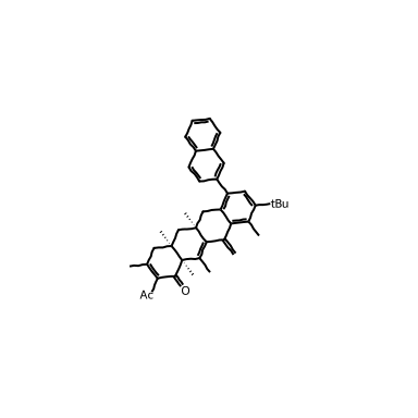 C=C1C2=C(C)[C@@]3(C)C(=O)C(C(C)=O)=C(C)C[C@@]3(C)C[C@@]2(C)Cc2c(-c3ccc4ccccc4c3)cc(C(C)(C)C)c(C)c21